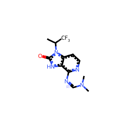 CC(n1c(=O)[nH]c2c(/N=C\N(C)C)nccc21)C(F)(F)F